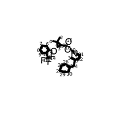 CC1(C)C(Oc2ccccc2C(F)(F)F)C1C(=O)OCn1ccc(Cc2ccccc2)c1